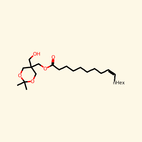 CCCCCC/C=C\CCCCCCCC(=O)OCC1(CO)COC(C)(C)OC1